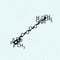 Cc1c(F)c(F)c(F)c(OC(=O)CCOCCOCCOCCOCCC(=O)NCCC(C)(C)C)c1F